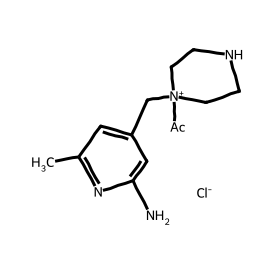 CC(=O)[N+]1(Cc2cc(C)nc(N)c2)CCNCC1.[Cl-]